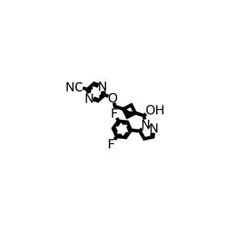 N#Cc1cnc(OCC23CC(C(O)N4N=CCC4c4cc(F)cc(F)c4)(C2)C3)cn1